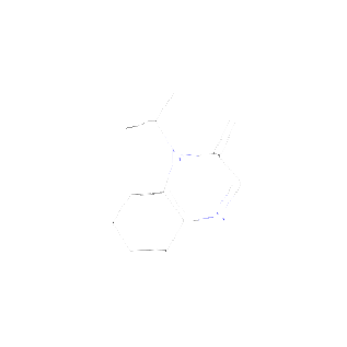 C=C1C=NC2=C(CCCC2)N1C(C)C